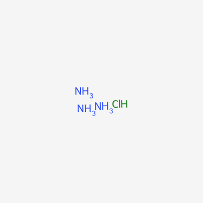 Cl.N.N.N